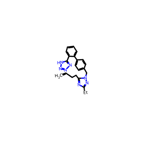 C=CCCc1nc(CC)nn1Cc1ccc(-c2ccccc2-c2nnn[nH]2)cc1